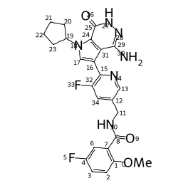 COc1ccc(F)cc1C(=O)NCc1cnc(-c2cn(C3CCCC3)c3c(=O)[nH]nc(N)c23)c(F)c1